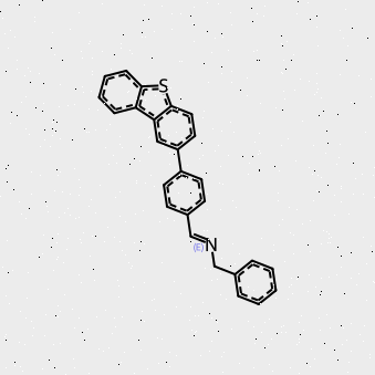 C(=N\Cc1ccccc1)/c1ccc(-c2ccc3sc4ccccc4c3c2)cc1